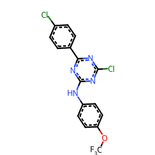 FC(F)(F)Oc1ccc(Nc2nc(Cl)nc(-c3ccc(Cl)cc3)n2)cc1